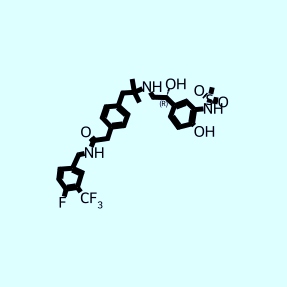 CC(C)(Cc1ccc(CC(=O)NCc2ccc(F)c(C(F)(F)F)c2)cc1)NC[C@H](O)c1ccc(O)c(NS(C)(=O)=O)c1